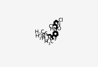 C=C(N)SCC[C@@](N)(CC)c1cc(NC(=O)c2nc(Cl)ccc2Cl)ccc1F